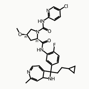 CO[C@@H]1C[C@H](C(=O)Nc2cc(C3(CCC4CC4)NC4C=C(C)N=CC=C43)ccc2F)N(C(=O)Nc2ccc(Cl)cn2)C1